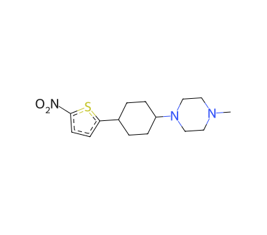 CN1CCN(C2CCC(c3ccc([N+](=O)[O-])s3)CC2)CC1